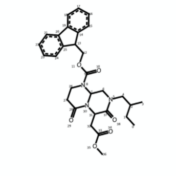 CCC(C)CN1CC2N(C(=O)OCC3c4ccccc4-c4ccccc43)CCC(=O)N2C(CC(=O)OC)C1=O